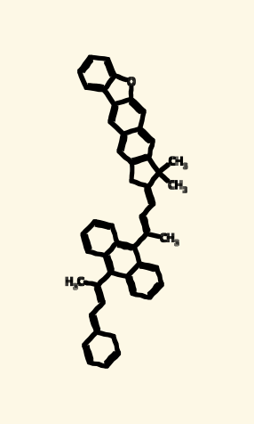 C/C(=C\C=C1\C=CC=CC1)c1c2ccccc2c(/C(C)=C/C=C2\Cc3cc4cc5c(cc4cc3C2(C)C)oc2ccccc25)c2ccccc12